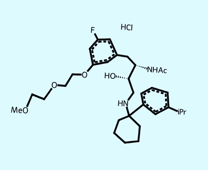 COCCOCCOc1cc(F)cc(C[C@H](NC(C)=O)[C@@H](O)CNC2(c3cccc(C(C)C)c3)CCCCC2)c1.Cl